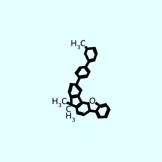 CC1C=CC=C(c2ccc(-c3ccc4c(c3)C3=C(C=CC5c6ccccc6OC35)C4(C)C)cc2)C1